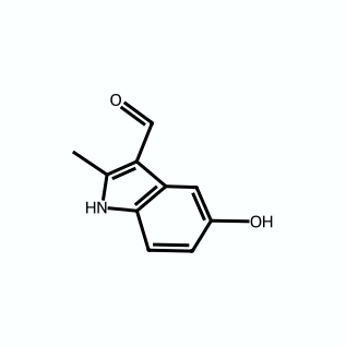 Cc1[nH]c2ccc(O)cc2c1C=O